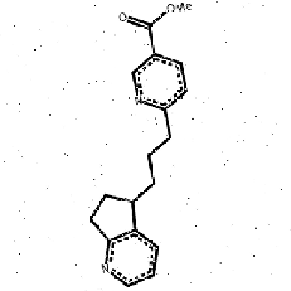 COC(=O)c1ccc(CCCC2CCc3ncccc32)nc1